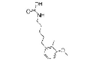 COc1cccc(CCCCCNC(=O)O)c1C